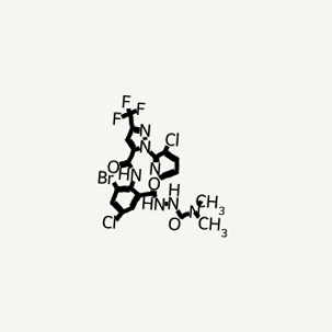 CN(C)C(=O)NNC(=O)c1cc(Cl)cc(Br)c1NC(=O)c1cc(C(F)(F)F)nn1-c1ncccc1Cl